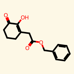 O=C(CC1=C(O)C(=O)CCC1)OCc1ccccc1